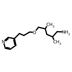 CC(CN)CC(C)COCCCc1cccnc1